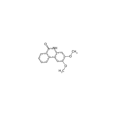 COc1cc2[nH]c(=O)c3ccccc3c2cc1OC